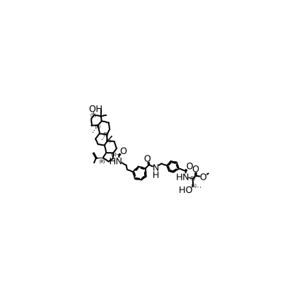 C=C(C)[C@@H]1CC[C@]2(C(=O)NCCc3cccc(C(=O)NCc4ccc(C(=O)N[C@@H](C(=O)OC)[C@H](C)O)cc4)c3)CC[C@]3(C)C(CCC4[C@@]5(C)CC[C@H](O)C(C)(C)C5CC[C@]43C)C12